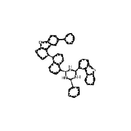 c1ccc(-c2ccc3oc4cccc(-c5cccc6c(C7NC(c8ccccc8)NC(c8cccc9sc%10ccccc%10c89)N7)cccc56)c4c3c2)cc1